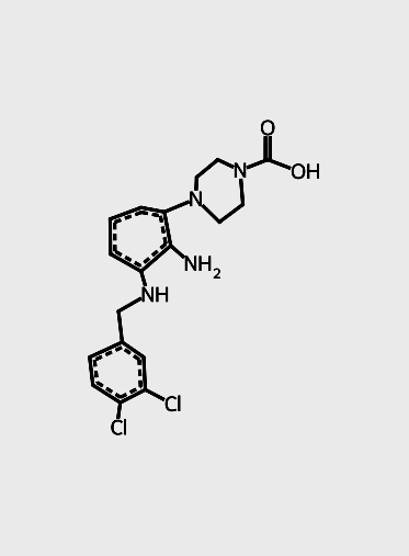 Nc1c(NCc2ccc(Cl)c(Cl)c2)cccc1N1CCN(C(=O)O)CC1